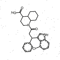 O=C(O)C1CCN(C(=O)CC(c2ccccc2)c2c[nH]c3cccc(Cl)c23)C2CCCCC12